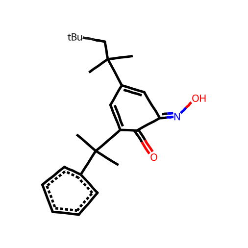 CC(C)(C)CC(C)(C)C1=C/C(=N\O)C(=O)C(C(C)(C)c2ccccc2)=C1